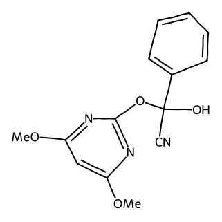 COc1cc(OC)nc(OC(O)(C#N)c2ccccc2)n1